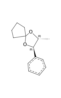 [CH2][C@H]1OC2(CCCC2)O[C@@H]1c1ccccc1